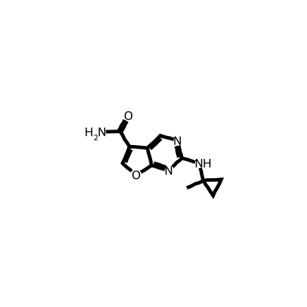 CC1(Nc2ncc3c(C(N)=O)coc3n2)CC1